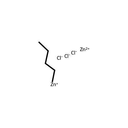 CCC[CH2][Zn+].[Cl-].[Cl-].[Cl-].[Zn+2]